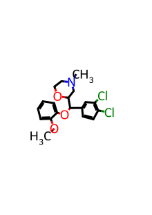 COc1ccccc1OC(c1ccc(Cl)c(Cl)c1)C1CN(C)CCO1